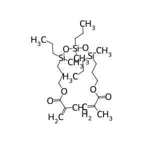 C=C(C)C(=O)OCCC[Si](C)(CCC)O[Si](C)(CCC)O[Si](C)(CCC)CCCOC(=O)C(=C)C